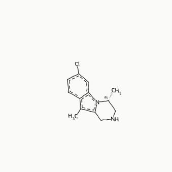 Cc1c2n(c3cc(Cl)ccc13)[C@H](C)CNC2